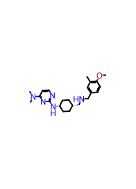 COc1ccc(CNC[C@H]2CC[C@@H](Nc3nccc(N(C)C)n3)CC2)cc1C